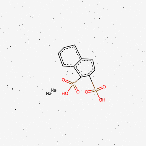 O=S(=O)(O)c1ccc2ccccc2c1S(=O)(=O)O.[Na].[Na]